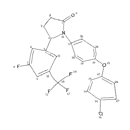 O=C1CCC(c2cc(F)cc(C(F)(F)F)c2)N1c1ccc(Oc2ccc(Cl)cc2)cc1